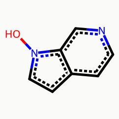 On1ccc2ccncc21